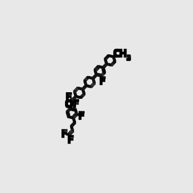 CC1CCC(c2ccc(C3CCC(C4CCC(C(F)(F)Oc5ccc(CCC=C(F)F)c(F)c5)CC4)CC3)c(F)c2)CC1